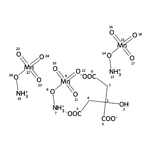 O=C([O-])CC(O)(CC(=O)[O-])C(=O)[O-].[NH3+][O][Mn](=[O])(=[O])=[O].[NH3+][O][Mn](=[O])(=[O])=[O].[NH3+][O][Mn](=[O])(=[O])=[O]